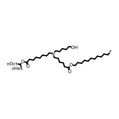 CCCCCCCCC(CCCCCC)OC(=O)CCCCCCCN(CCCCCO)CCCCCC(=O)OCCCCCCCCCCCF